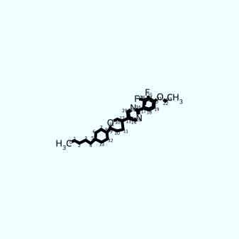 CCCCCC1CCC(C2CCC(c3cnc(-c4ccc(OCC)c(F)c4F)nc3)CO2)CC1